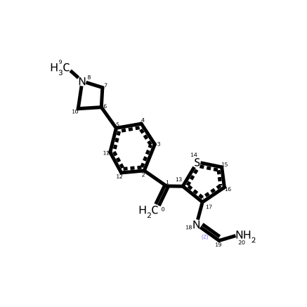 C=C(c1ccc(C2CN(C)C2)cc1)c1sccc1/N=C\N